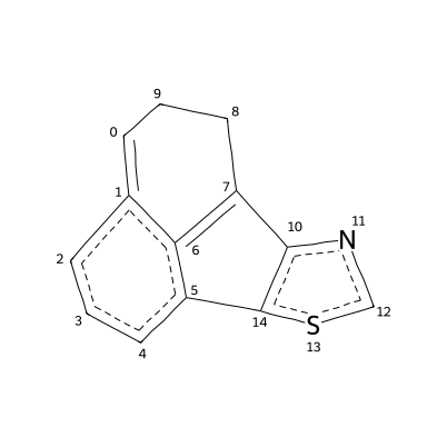 C1=c2cccc3c2=C(CC1)c1ncsc1-3